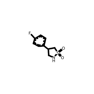 O=S1(=O)CC(c2ccc(F)cc2)CN1